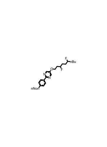 CCCCCCCCCc1ccc(-c2ncc(OCCC(F)CCC(F)CCCC)cn2)cc1